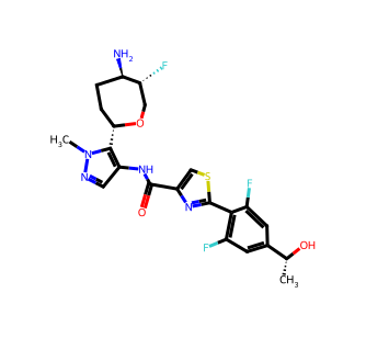 C[C@@H](O)c1cc(F)c(-c2nc(C(=O)Nc3cnn(C)c3[C@@H]3CC[C@@H](N)[C@H](F)CO3)cs2)c(F)c1